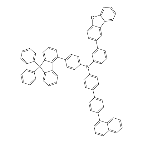 c1ccc(C2(c3ccccc3)c3ccccc3-c3c(-c4ccc(N(c5ccc(-c6ccc(-c7cccc8ccccc78)cc6)cc5)c5cccc(-c6ccc7oc8ccccc8c7c6)c5)cc4)cccc32)cc1